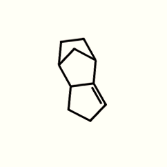 C1=C2C3CCC(C3)C2CC1